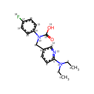 CCN(CC)c1ccc(CN(C(=O)O)c2ccc(F)cc2)cn1